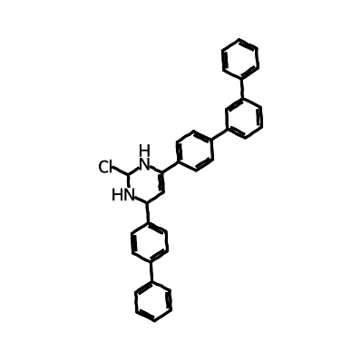 ClC1NC(c2ccc(-c3cccc(-c4ccccc4)c3)cc2)=CC(c2ccc(-c3ccccc3)cc2)N1